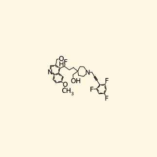 COc1ccc2ncc(CO)c([C@@H](F)CCC3(CO)CCN(CC#Cc4c(F)cc(F)cc4F)CC3)c2c1